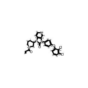 C=CC(=O)N1CCCC(n2c(=O)n(-c3ccc(Oc4cccc(Cl)c4Cl)cc3)c3cnccc32)C1